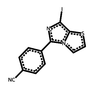 N#Cc1ccc(-c2nc(I)c3sccn23)cc1